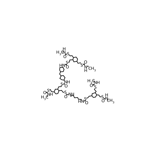 CCNC(=O)SCCC1CCC(CCSC(=O)NC)C(CCSC(=O)NC2CCC(CC3CCC(NC(=O)SCCC4CC(CCSC(=O)NC)CCC4CCSC(=O)NCCCCCCNC(=O)SCCC4CCC(CCSC(=O)NC)C(CCSC(=O)NC)C4)CC3)CC2)C1